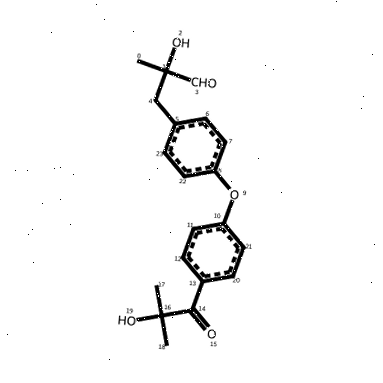 CC(O)(C=O)Cc1ccc(Oc2ccc(C(=O)C(C)(C)O)cc2)cc1